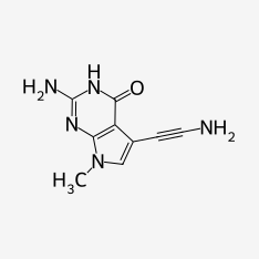 Cn1cc(C#CN)c2c(=O)[nH]c(N)nc21